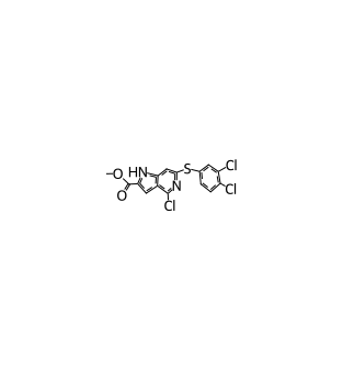 COC(=O)c1cc2c(Cl)nc(Sc3ccc(Cl)c(Cl)c3)cc2[nH]1